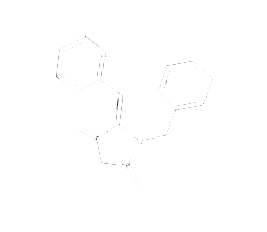 O=C1CC(=O)N(Cc2ccccc2)/C1=C/c1ccccc1